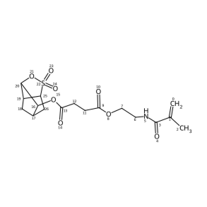 C=C(C)C(=O)NCCOC(=O)CCC(=O)OC1C2CC3C1OS(=O)(=O)C3C2